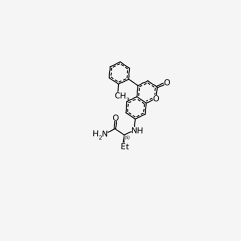 CC[C@H](Nc1ccc2c(-c3ccccc3C)cc(=O)oc2c1)C(N)=O